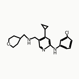 Clc1cccc(Nc2cc(C3CC3)c(CNCC3CCOCC3)cn2)c1